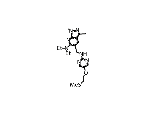 CCN(CC)c1nc2c(cc1CNc1ncc(OCCSC)cn1)c(C)nn2C